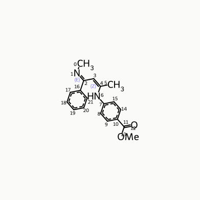 C/N=C(\C=C(\C)Nc1ccc(C(=O)OC)cc1)c1ccccc1